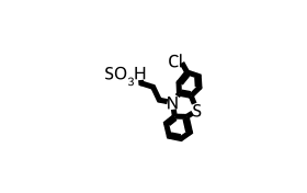 O=S(=O)(O)CCCN1c2ccccc2Sc2ccc(Cl)cc21